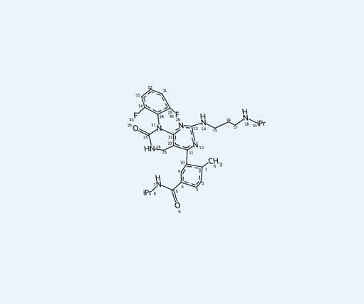 Cc1ccc(C(=O)NC(C)C)cc1-c1nc(NCCCNC(C)C)nc2c1CNC(=O)N2c1c(F)cccc1F